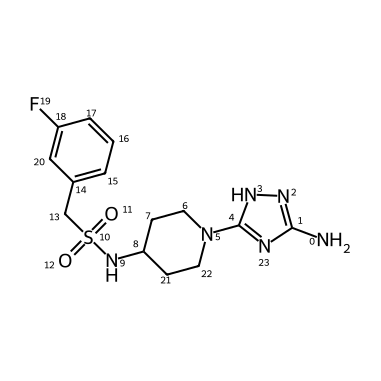 Nc1n[nH]c(N2CCC(NS(=O)(=O)Cc3cccc(F)c3)CC2)n1